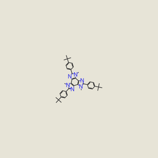 Cn1c(-c2ccc(C(C)(C)C)cc2)nc2c1c1nc(-c3ccc(C(C)(C)C)cc3)n(C)c1c1nc(-c3ccc(C(C)(C)C)cc3)n(C)c21